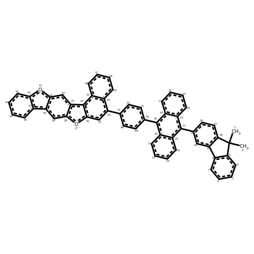 CC1(C)c2ccccc2-c2cc(-c3c4ccccc4c(-c4ccc(-c5cc6oc7cc8c(cc7c6c6ccccc56)oc5ccccc58)cc4)c4ccccc34)ccc21